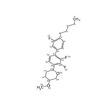 CCCCCc1ccc(-c2ccc(C3CCC(OC)CO3)c(F)c2F)cc1F